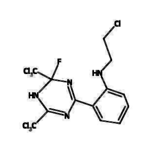 FC1(C(Cl)(Cl)Cl)N=C(c2ccccc2NCCCl)N=C(C(Cl)(Cl)Cl)N1